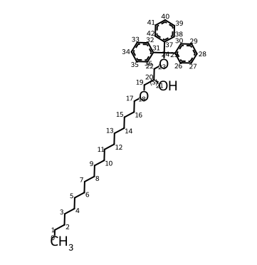 CCCCCCCCCCCCCCCCCCOC[C@H](O)COC(c1ccccc1)(c1ccccc1)c1ccccc1